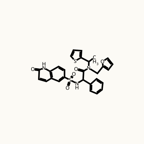 CC(c1cccs1)N(Cc1ccco1)C(=O)C(NS(=O)(=O)c1ccc2[nH]c(=O)ccc2c1)c1ccccc1